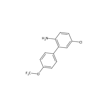 Nc1ccc(Cl)cc1-c1ccc(OC(F)(F)F)cc1